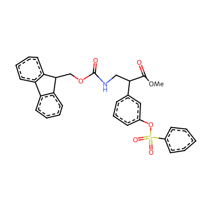 COC(=O)C(CNC(=O)OCC1c2ccccc2-c2ccccc21)c1cccc(OS(=O)(=O)c2ccccc2)c1